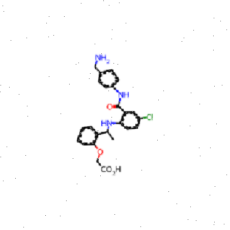 CC(Nc1ccc(Cl)cc1C(=O)Nc1ccc(CN)cc1)c1ccccc1OCC(=O)O